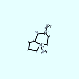 CC(C)N1CC[N+]2(C(C)C)CCCC2C1